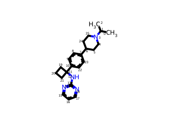 CC(C)N1CCC(c2ccc(C3(Nc4ncccn4)CCC3)cc2)CC1